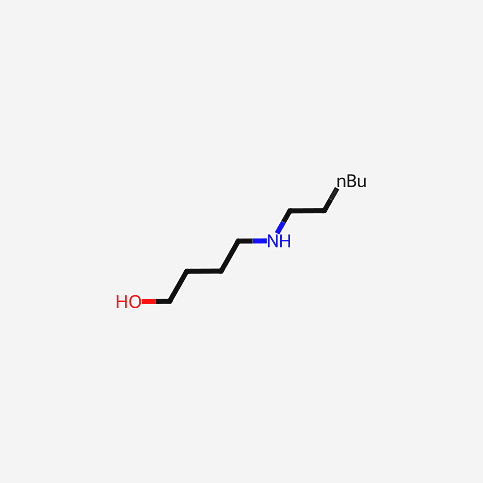 CCCCCCNCCCCO